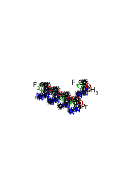 CC(C)C1c2ncn(-c3cnccn3)c2CCN1C(=O)c1cccc(C(F)(F)F)c1Cl.CC1c2ncn(-c3ccccc3)c2CCN1C(=O)c1cccc(C(F)(F)F)c1Cl.CC1c2ncn(-c3ccccn3)c2CCN1C(=O)c1cccc(C(F)(F)F)c1Cl.CC1c2ncn(-c3cnccn3)c2CCN1C(=O)c1cccc(C(F)(F)F)c1F.CCC1c2ncn(-c3cnccn3)c2CCN1C(=O)c1cccc(C(F)(F)F)c1Cl